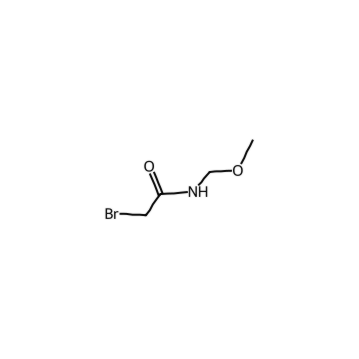 COCNC(=O)CBr